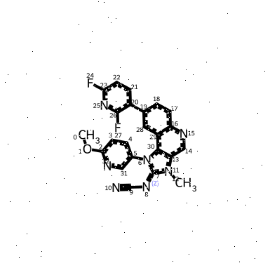 COc1ccc(-n2/c(=N\C#N)n(C)c3cnc4ccc(-c5ccc(F)nc5F)cc4c32)cn1